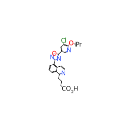 CC(C)Oc1ncc(-c2nc(-c3cccc4c(CCCC(=O)O)nccc34)no2)cc1Cl